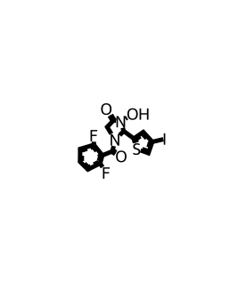 O=C1CN(C(=O)c2c(F)cccc2F)C(c2cc(I)cs2)N1O